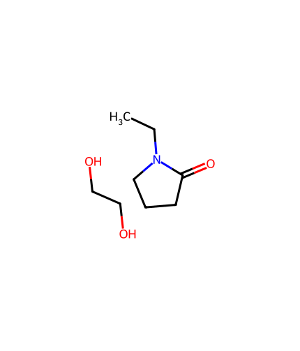 CCN1CCCC1=O.OCCO